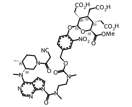 COC(=O)[C@H]1O[C@@H](Oc2ccc(COC(=O)N(C)CCN(C)C(=O)n3ccc4c(N(C)[C@H]5CN(C(=O)CC#N)CC[C@H]5C)ncnc43)cc2[N+](=O)[O-])[C@H](CC(=O)O)[C@@H](CC(=O)O)[C@@H]1CC(=O)O